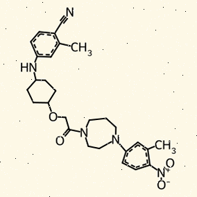 Cc1cc(NC2CCC(OCC(=O)N3CCCN(c4ccc([N+](=O)[O-])c(C)c4)CC3)CC2)ccc1C#N